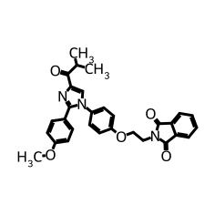 COc1ccc(-c2nc(C(=O)C(C)C)cn2-c2ccc(OCCN3C(=O)c4ccccc4C3=O)cc2)cc1